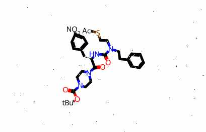 CC(=O)SCCN(CCc1ccccc1)C(=O)N[C@@H](Cc1ccc([N+](=O)[O-])cc1)C(=O)N1CCN(C(=O)OC(C)(C)C)CC1